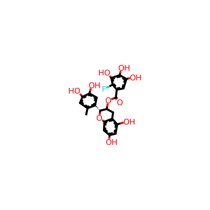 Cc1cc(O)c(O)cc1[C@H]1Oc2cc(O)cc(O)c2CC1OC(=O)c1cc(O)c(O)c(O)c1F